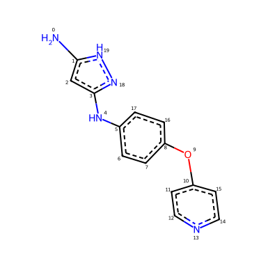 Nc1cc(Nc2ccc(Oc3ccncc3)cc2)n[nH]1